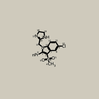 CCCc1c(S(C)(=O)=O)c2cc(Cl)ccc2n1CC1=NCCN1